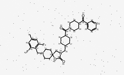 Cc1cc(F)c(CN2CCC3(CC2)CN(CC2CCC(C(=O)N4CCC(C(=O)c5cccnc5)CC4)CC2)C(=O)O3)c(F)c1